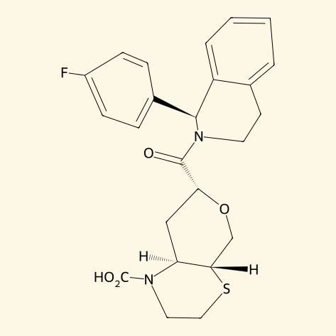 O=C([C@H]1C[C@H]2[C@H](CO1)SCCN2C(=O)O)N1CCc2ccccc2[C@@H]1c1ccc(F)cc1